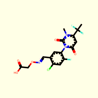 Cn1c(C(C)(F)F)cc(=O)n(-c2cc(/C=N/OCC(=O)O)c(Cl)cc2F)c1=O